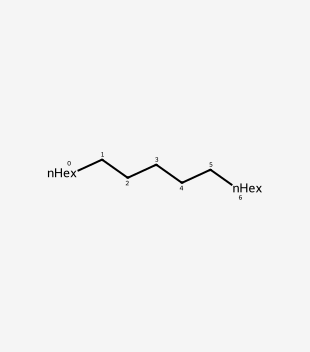 CCCCCCCCCCCCCCCCC